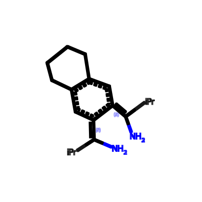 CC(C)/C(N)=c1\cc2c(c\c1=C(\N)C(C)C)CCCC2